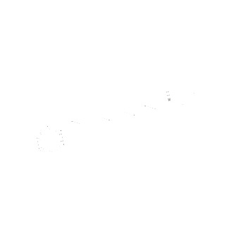 CC(=O)CC(=O)OCCOCCOCc1ccccc1